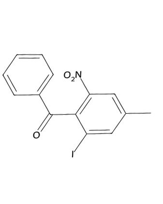 Cc1cc(I)c(C(=O)c2ccccc2)c([N+](=O)[O-])c1